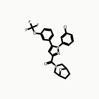 O=C(c1cc(-c2cccc(OC(F)(F)F)c2)n(-c2cccc(Cl)c2)n1)N1CC2CCC(C1)O2